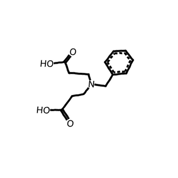 O=C(O)CCN(CCC(=O)O)Cc1ccccc1